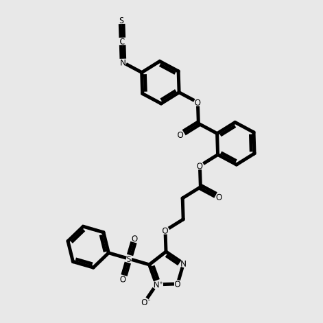 O=C(CCOc1no[n+]([O-])c1S(=O)(=O)c1ccccc1)Oc1ccccc1C(=O)Oc1ccc(N=C=S)cc1